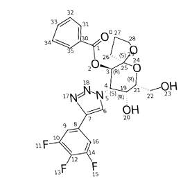 O=C(O[C@@H]1[C@@H](n2cc(-c3cc(F)c(F)c(F)c3)nn2)[C@@H](O)[C@@H](CO)O[C@@]12CCCO2)c1ccccc1